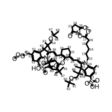 Cc1cc(S(=O)(=O)O)cc2c1N(CCCCCC(=O)ON1C(=O)CCC1=O)/C(=C/C=C1\CCCC(/C=C/C3=[N+](C(C)(C)COC(C)(C)C)c4c(C)cc(SOO[O-])cc4C3(C)C(C)(C)COC(C)(C)C)=C1Oc1ccc(S(=O)(=O)O)cc1)C2(C)C(C)(C)COC(C)(C)C